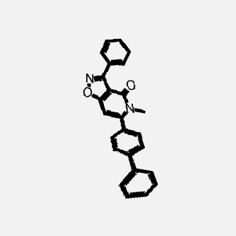 Cn1c(-c2ccc(-c3ccccc3)cc2)cc2onc(-c3ccccc3)c2c1=O